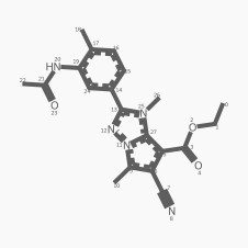 CCOC(=O)c1c(C#N)c(C)n2nc(-c3ccc(C)c(NC(C)=O)c3)n(C)c12